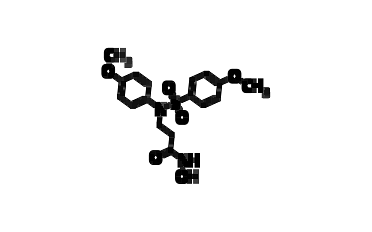 COc1ccc(N(CCC(=O)NO)S(=O)(=O)c2ccc(OC)cc2)cc1